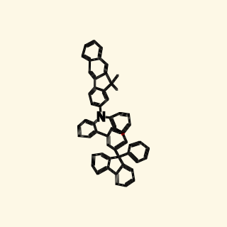 CC1(C)c2cc(N(c3ccccc3)c3ccccc3-c3cccc(C4(c5ccccc5)c5ccccc5-c5ccccc54)c3)ccc2-c2cc3ccccc3cc21